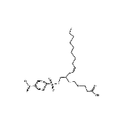 CCCCCCCC/C=C\CC(CCSCCC(=O)O)COS(=O)(=O)c1ccc([N+](=O)[O-])cc1